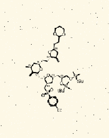 C=C1C[C@H](CCC2OCCCO2)O[C@H]1CC[C@H]1C[C@H](C)C(=C)[C@@H](C[C@@H]2O[C@H](C[C@@H](CO[Si](C)(C)C(C)(C)C)O[Si](C)(C)C(C)(C)C)C[C@H]2CS(=O)(=O)c2ccc(CC)cc2)O1